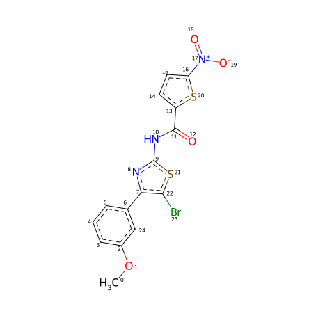 COc1cccc(-c2nc(NC(=O)c3ccc([N+](=O)[O-])s3)sc2Br)c1